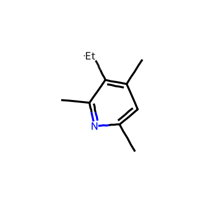 C[CH]c1c(C)cc(C)nc1C